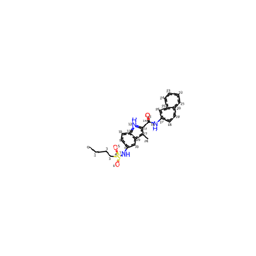 CCCCS(=O)(=O)Nc1ccc2[nH]c(C(=O)Nc3ccc4ccccc4c3)c(C)c2c1